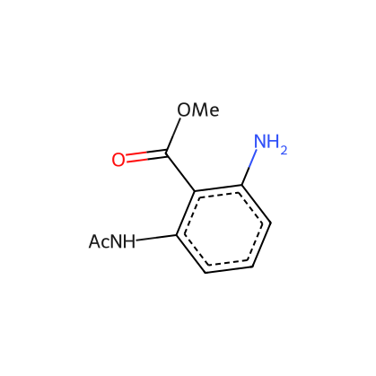 COC(=O)c1c(N)cccc1NC(C)=O